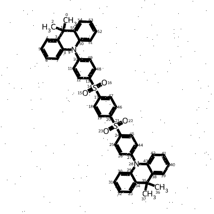 CC1(C)c2ccccc2N(c2ccc(S(=O)(=O)c3ccc(S(=O)(=O)c4ccc(N5c6ccccc6C(C)(C)c6ccccc65)cc4)cc3)cc2)c2ccccc21